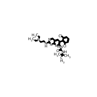 CCN(CC)CCNc1ncc2cc(-c3c(Cl)cccc3Cl)c(NC(=O)NC(C)(C)C)nc2n1